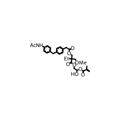 C=C(C)C(=O)OC(O)COC(=O)C(CC)(COC)COC(=O)Cc1ccc(Cc2ccc(NC(C)=O)cc2)cc1